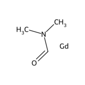 CN(C)C=O.[Gd]